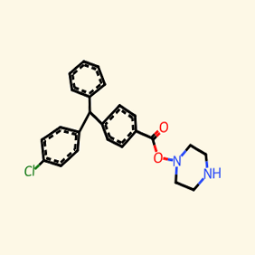 O=C(ON1CCNCC1)c1ccc(C(c2ccccc2)c2ccc(Cl)cc2)cc1